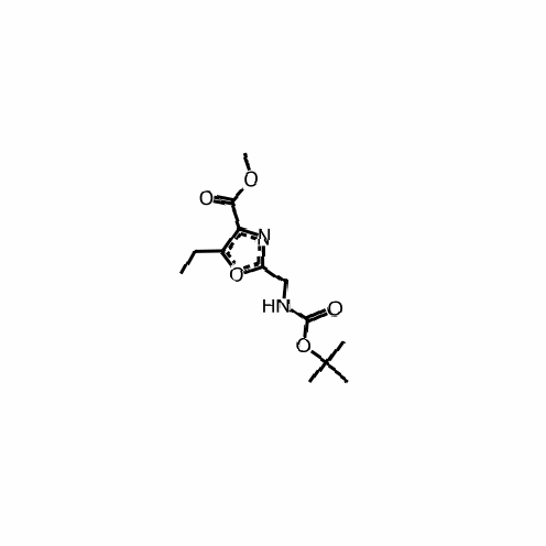 CCc1oc(CNC(=O)OC(C)(C)C)nc1C(=O)OC